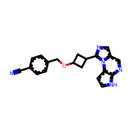 N#Cc1ccc(COC2CC(c3ncc4cnc5[nH]ccc5n34)C2)cc1